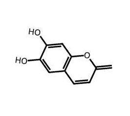 C=C1C=Cc2cc(O)c(O)cc2O1